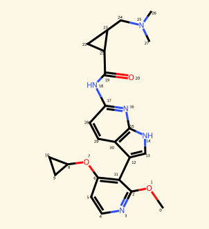 COc1nccc(OC2CC2)c1-c1c[nH]c2nc(NC(=O)C3CC3CN(C)C)ccc12